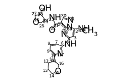 CNc1cc(Nc2cccc([C@@H]3CCCOC3)n2)nc2c(C(=O)N[C@@H]3COC[C@@H]3O)cnn12